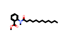 CCCCCCCCCCCC(=O)N(C)c1ccccc1C(=O)OC